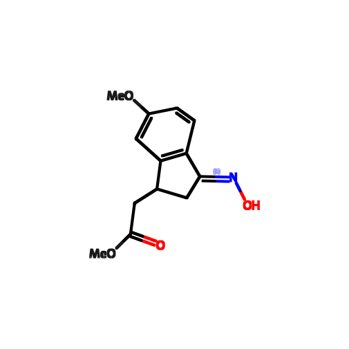 COC(=O)CC1C/C(=N\O)c2ccc(OC)cc21